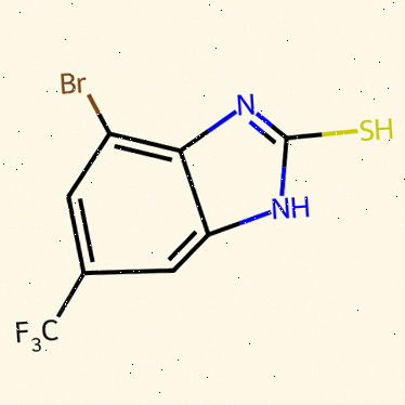 FC(F)(F)c1cc(Br)c2nc(S)[nH]c2c1